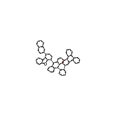 c1ccc(-c2c3ccccc3c(-c3ccc(-c4ccc5ccccc5c4)c4c3oc3ccccc34)c3ccccc23)c(-c2ccc3c4ccccc4c4ccccc4c3c2)c1